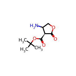 CC(C)(C)OC(=O)[C@@H]1C(=O)OCC1N